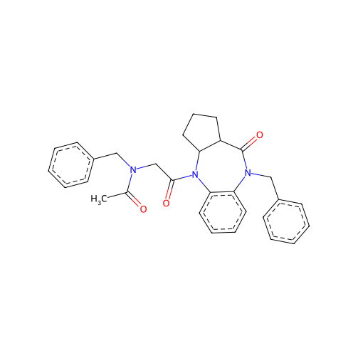 CC(=O)N(CC(=O)N1c2ccccc2N(Cc2ccccc2)C(=O)C2CCCC21)Cc1ccccc1